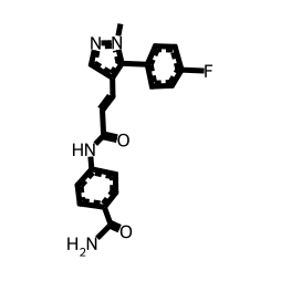 Cn1ncc(/C=C/C(=O)Nc2ccc(C(N)=O)cc2)c1-c1ccc(F)cc1